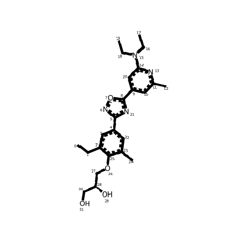 CCc1cc(-c2noc(-c3cc(C)nc(N(CC)CC)c3)n2)cc(C)c1OC[C@@H](O)CO